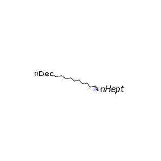 [CH2]CCCCCC/C=C/CCCCCCCCCCCCCCCCCC[CH2]